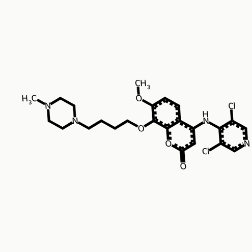 COc1ccc2c(Nc3c(Cl)cncc3Cl)cc(=O)oc2c1OCCCCN1CCN(C)CC1